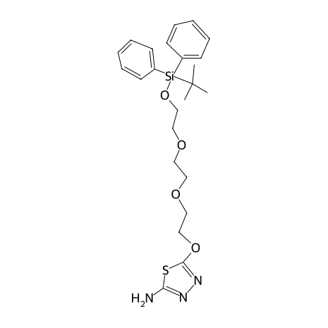 CC(C)(C)[Si](OCCOCCOCCOc1nnc(N)s1)(c1ccccc1)c1ccccc1